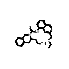 CCOCc1cc2c(NC(=S)N3Cc4ccccc4CC3CCO)cccc2cn1